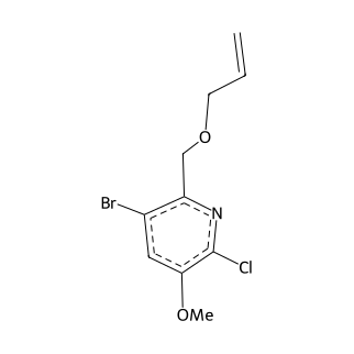 C=CCOCc1nc(Cl)c(OC)cc1Br